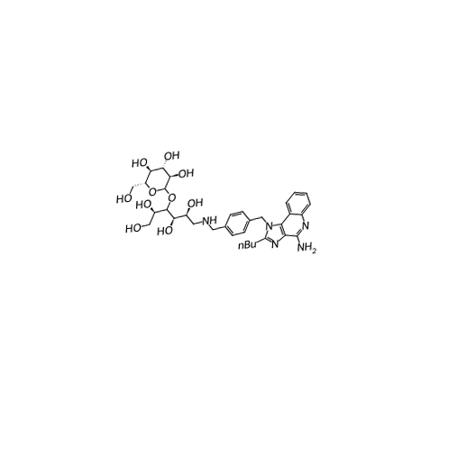 CCCCc1nc2c(N)nc3ccccc3c2n1Cc1ccc(CNC[C@H](O)[C@@H](O)C(OC2O[C@H](CO)[C@@H](O)[C@H](O)[C@H]2O)[C@H](O)CO)cc1